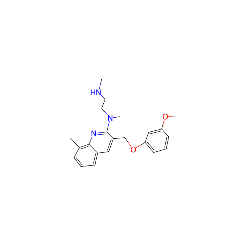 CNCCN(C)c1nc2c(C)cccc2cc1COc1cccc(OC)c1